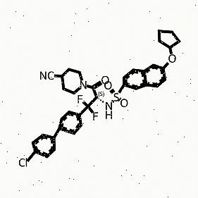 N#CC1CCN(C(=O)[C@H](NS(=O)(=O)c2ccc3cc(OC4CCCC4)ccc3c2)C(F)(F)c2ccc(-c3ccc(Cl)cc3)cc2)CC1